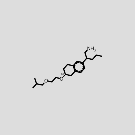 CCCC(CN)c1ccc2c(c1)CC[C@H](OCCOCC(C)C)C2